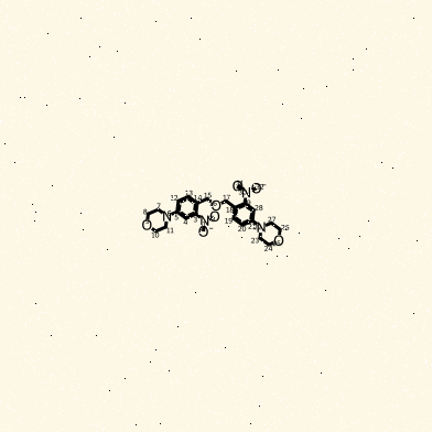 O=[N+]([O-])c1cc(N2CCOCC2)ccc1COCc1ccc(N2CCOCC2)cc1[N+](=O)[O-]